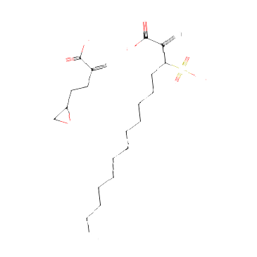 C=C(C(=O)O)C(CCCCCCCCCCCC)S(=O)(=O)O.C=C(CCC1CO1)C(=O)O